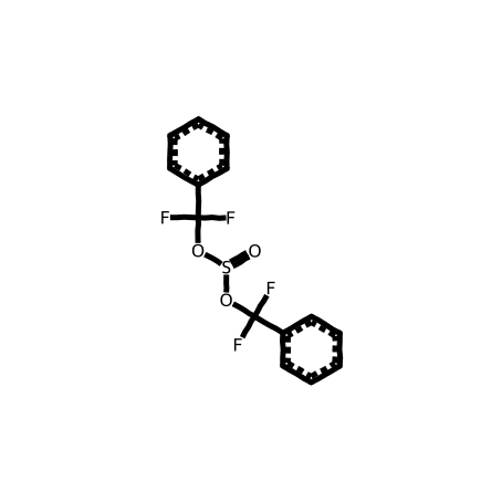 O=S(OC(F)(F)c1ccccc1)OC(F)(F)c1ccccc1